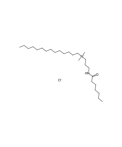 CCCCCCCCCCCCCC[N+](C)(C)CCCNC(=O)CCCCCC.[Cl-]